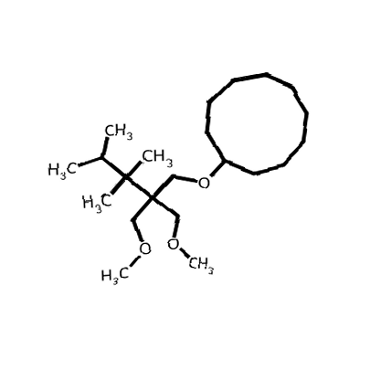 COCC(COC)(COC1CCCCCCCCC1)C(C)(C)C(C)C